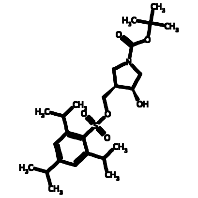 CC(C)c1cc(C(C)C)c(S(=O)(=O)OC[C@H]2CN(C(=O)OC(C)(C)C)C[C@H]2O)c(C(C)C)c1